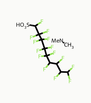 CNC.O=S(=O)(O)C(F)C(F)(F)C(F)(F)C(F)(F)C(F)(F)C(F)C(F)C(F)C(F)F